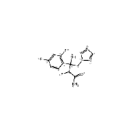 NC(=O)C(F)C(O)(Cn1cncn1)c1ccc(F)cc1F